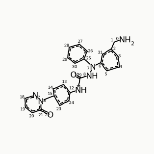 NCc1cccc(N(NC(=O)Nc2ccc(-n3ncccc3=O)cc2)c2ccccc2)c1